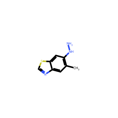 Cc1cc2ncsc2cc1NN